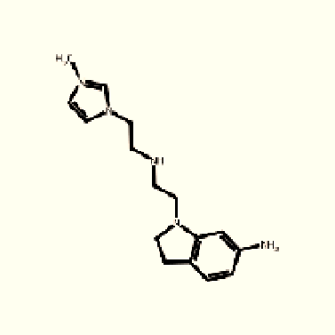 C[n+]1ccn(CCNCCN2CCc3ccc(N)cc32)c1